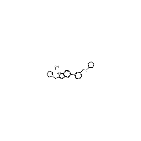 OC[C@H]1CCCN1Cc1cc2cc(-c3cccc(CSC4CCCC4)c3)ccc2[nH]1